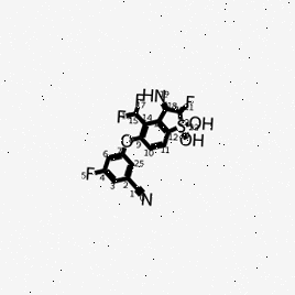 N#Cc1cc(F)cc(Oc2ccc3c(c2C(F)F)C(=N)C(F)S3(O)O)c1